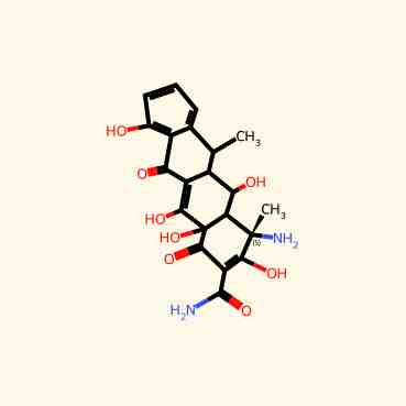 CC1c2cccc(O)c2C(=O)C2=C(O)C3(O)C(=O)C(C(N)=O)=C(O)[C@@](C)(N)C3C(O)C21